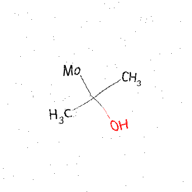 C[C](C)(O)[Mo]